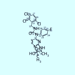 CC(Nc1nccc(N(C(=O)NCc2c(Cl)ccc(Cl)c2Cl)c2ccc(F)cc2)n1)C(C)(C)O